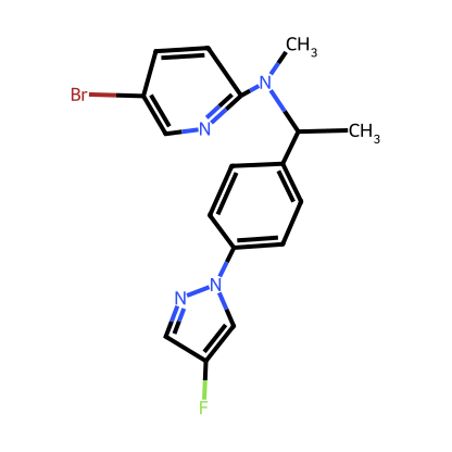 CC(c1ccc(-n2cc(F)cn2)cc1)N(C)c1ccc(Br)cn1